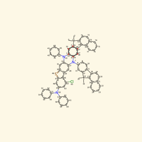 CC1(C)c2ccc(N(c3ccc4c(c3)C(C)(C)c3c-4ccc4ccccc34)c3cc4c(cc3N(c3ccccc3)c3ccccc3)sc3cc(N(c5ccccc5)c5ccccc5)cc(Cl)c34)cc2-c2c1ccc1ccccc21